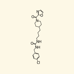 O=C(NCCCCC1CCN(C(=O)c2ncco2)CC1)NCc1ccc(Cl)cc1